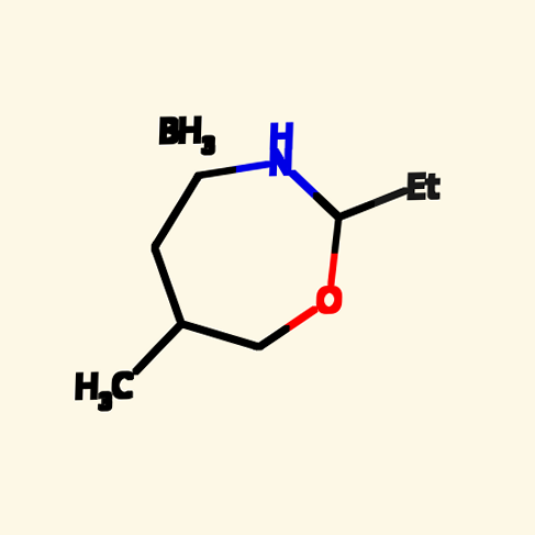 B.CCC1NCCC(C)CO1